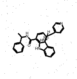 CC(NC(=O)C1=C2Nc3ccccc3C23NCN(c2ccncc2)[C@@H]3C=C1)c1ccccc1